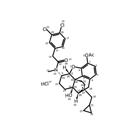 CC(=O)Oc1ccc2c3c1O[C@H]1[C@@H](N(C)C(=O)Cc4ccc(Cl)c(Cl)c4)CC[C@@]4(O)[C@@H](C2)N(CC2CC2)CC[C@]314.Cl